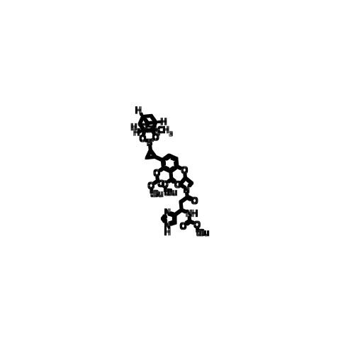 CC(C)(C)OC(=O)NC(CC(=O)N1CC(Oc2ccc(C3CC3B3O[C@@H]4C[C@@H]5C[C@@H](C5(C)C)[C@]4(C)O3)c(OC(=O)OC(C)(C)C)c2C(=O)OC(C)(C)C)C1)c1c[nH]cn1